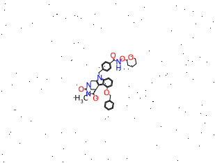 CN1C(=O)C2CN(Cc3c2c2c(OCc4ccccc4)cccc2n3Cc2ccc(C(=O)NOC3CCCCO3)cc2)C1=O